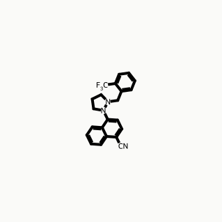 N#Cc1ccc(N2CCCN2Cc2ccccc2C(F)(F)F)c2ccccc12